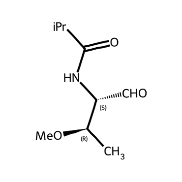 CO[C@H](C)[C@@H](C=O)NC(=O)C(C)C